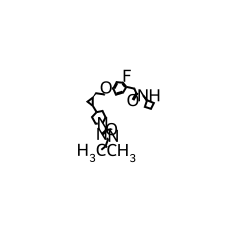 CC(C)c1noc(N2CCC(C3C[C@H]3CCOc3ccc(CC(=O)NC4CCC4)c(F)c3)CC2)n1